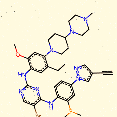 C#Cc1cnn(-c2ccc(Nc3nc(Nc4cc(CC)c(N5CCC(N6CCN(C)CC6)CC5)cc4OC)ncc3Br)c(P(C)C)c2)c1